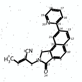 C/C=C(\C#N)CN1Cc2c(ccc3ccc(-c4ccccn4)cc23)C1=O